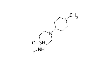 CN1CCC(N2CC[SH](=O)(NI)CC2)CC1